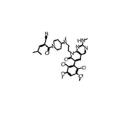 CNc1ncc2cc(-c3c(Cl)c(OC)cc(OC)c3Cl)c(=O)n(CCN(C)C3CCN(C(=O)/C(C#N)=C\C(C)C)CC3)c2n1